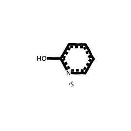 Oc1ccccn1.[S]